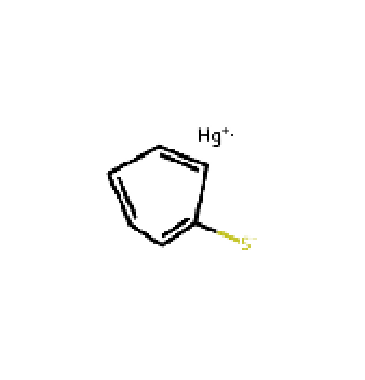 [Hg+].[S-]c1ccccc1